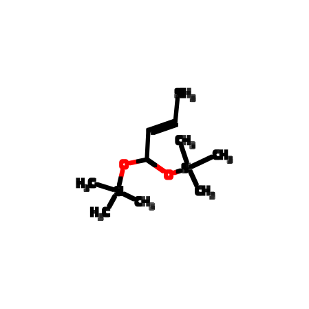 C[Si](C)(C)OC(C=C[SiH3])O[Si](C)(C)C